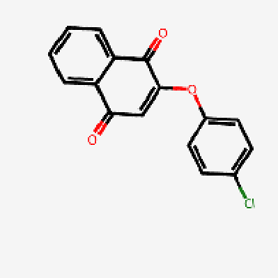 O=C1C=C(Oc2ccc(Cl)cc2)C(=O)c2ccccc21